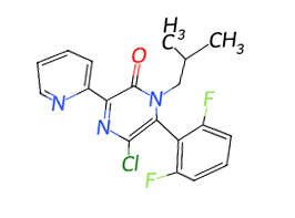 CC(C)Cn1c(-c2c(F)cccc2F)c(Cl)nc(-c2ccccn2)c1=O